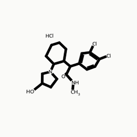 CNC(=O)C(c1ccc(Cl)c(Cl)c1)C1CCCCC1N1CCC(O)C1.Cl